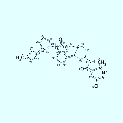 Cc1ncc(Cl)cc1C(=O)NC1CCC(Cn2c(=O)n(-c3cccc(-c4ccn(C)n4)c3)c3ccccc32)CC1